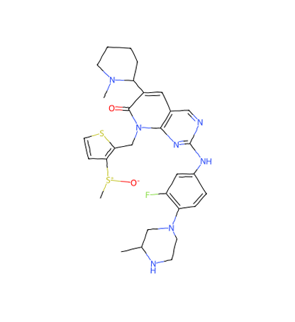 CC1CN(c2ccc(Nc3ncc4cc(C5CCCCN5C)c(=O)n(Cc5sccc5[S+](C)[O-])c4n3)cc2F)CCN1